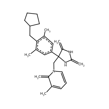 C=C1NC(=C)C(CN2C=CC=C(C)C2=C)(c2cc(C)c(CC3CCCC3)c(C)c2)N1